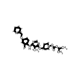 Cc1c(Nc2ccc(OCc3ccccn3)cc2F)ncnc1OC1CCN(OC(=O)OC(C)C)CC1